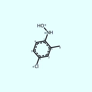 Cc1cc(Cl)ccc1NO